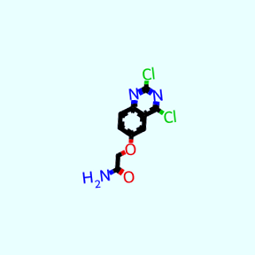 NC(=O)COc1ccc2nc(Cl)nc(Cl)c2c1